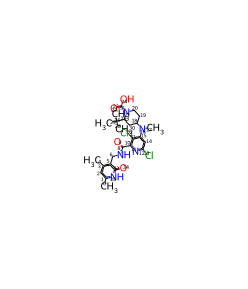 Cc1cc(C)c(CNC(=O)c2nc(Cl)cc(N(C)C3CCN(C(=O)O)C(C(C)(C)C)C3)c2Cl)c(=O)[nH]1